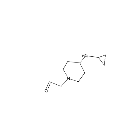 O=CCN1CCC(NC2CC2)CC1